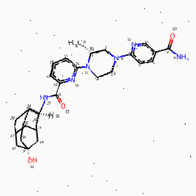 C[C@@H]1CN(c2ccc(C(N)=O)cn2)CCN1c1cccc(C(=O)N[C@H]2C3CC4CC2C[C@](O)(C4)C3)n1